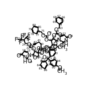 COc1ccc(C(OC[C@@H]2O[C@H](n3ccc(=O)[nH]c3=O)C(OCOCC(C(F)(F)F)C(F)(F)F)C2(O)OP(=O)(OCCC#N)OC(O)[C@@H]2O[C@H](n3ccc(=O)[nH]c3=O)C(OC(=O)OCc3ccccc3)C2OC(=O)OCc2ccccc2)(c2ccccc2)c2ccc(OC)cc2)cc1